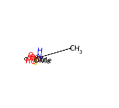 CC#CC#CC#CC#CC#CC#CC#CC#CC#CC#CC(=O)N[C@@H]1C[C@H](COC(=O)OCc2ccccc2)C(OP(O)(=S)OC)[C@@H]1OC